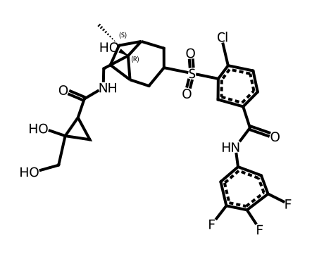 C[C@H]1CC2CC(S(=O)(=O)c3cc(C(=O)Nc4cc(F)c(F)c(F)c4)ccc3Cl)CC1[C@@]2(O)CNC(=O)C1CC1(O)CO